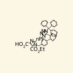 CCCc1nc(C(=O)O)c(C(=O)OCC)n1Cc1ccc(-c2ccccc2-c2nnnn2C(c2ccccc2)(c2ccccc2)c2ccccc2)cc1